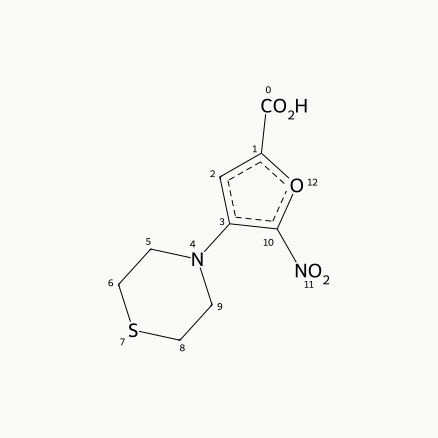 O=C(O)c1cc(N2CCSCC2)c([N+](=O)[O-])o1